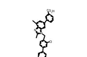 Cc1cc(-c2cccc(C(=O)O)c2)cc2c1nc(C)n2Cc1ccc(-c2ccccc2)cc1Cl